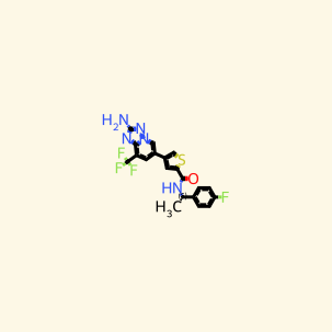 C[C@H](NC(=O)c1cc(-c2cc(C(F)(F)F)c3nc(N)nn3c2)cs1)c1ccc(F)cc1